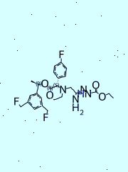 CCOC(=O)N/N=C(\N)CN1CCO[C@H](O[C@H](C)c2cc(CF)cc(CF)c2)[C@@H]1c1ccc(F)cc1